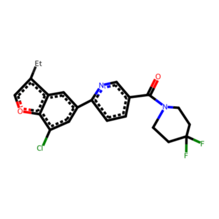 CCc1coc2c(Cl)cc(-c3ccc(C(=O)N4CCC(F)(F)CC4)cn3)cc12